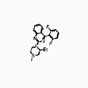 CCC1CNCCN1c1nc(-c2c(F)cccc2F)c2ccccc2n1